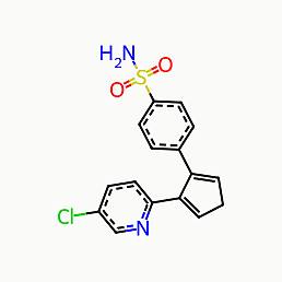 NS(=O)(=O)c1ccc(C2=CCC=C2c2ccc(Cl)cn2)cc1